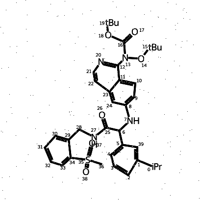 CC(C)c1cccc(C(Nc2ccc3c(N(OC(C)(C)C)C(=O)OC(C)(C)C)nccc3c2)C(=O)NCc2ccccc2S(C)(=O)=O)c1